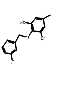 CCc1cc(C)cc(Br)c1OCc1cccc(F)c1